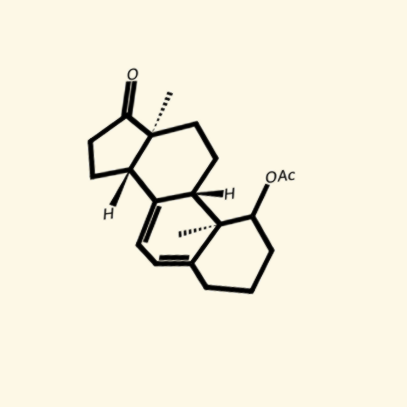 CC(=O)OC1CCCC2=CC=C3[C@@H]4CCC(=O)[C@@]4(C)CC[C@@H]3[C@]21C